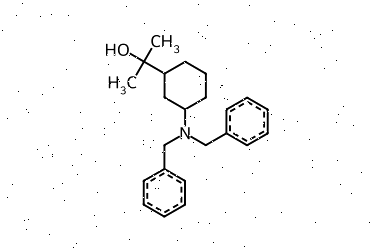 CC(C)(O)C1CCCC(N(Cc2ccccc2)Cc2ccccc2)C1